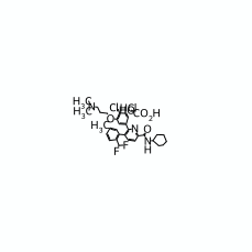 Cc1ccc(C(F)F)c(-c2ccc(C(=O)NC3CCCCC3)nc2-c2ccc(Cl)c(OCCCN(C)C)c2)c1.Cl.O=C(O)O